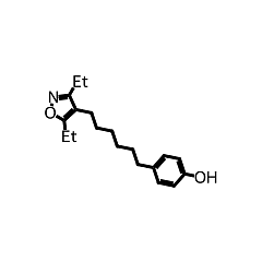 CCc1noc(CC)c1CCCCCCc1ccc(O)cc1